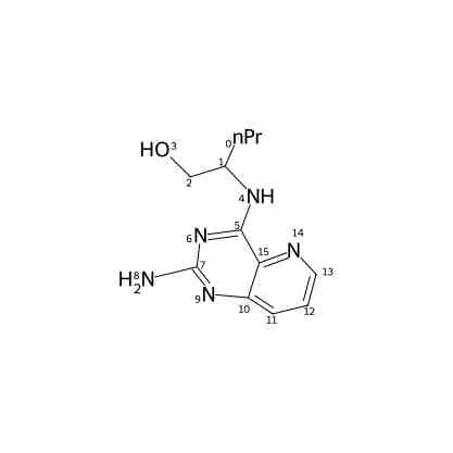 CCCC(CO)Nc1nc(N)nc2cccnc12